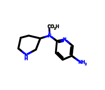 Nc1ccc(N(C(=O)O)C2CCCNC2)nc1